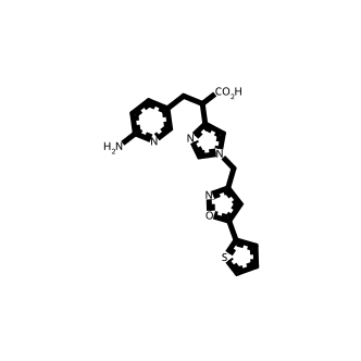 Nc1ccc(CC(C(=O)O)c2cn(Cc3cc(-c4cccs4)on3)cn2)cn1